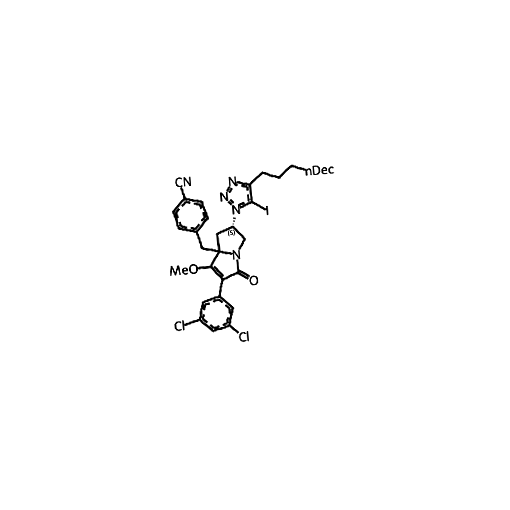 CCCCCCCCCCCCCc1nnn([C@@H]2CN3C(=O)C(c4cc(Cl)cc(Cl)c4)=C(OC)C3(Cc3ccc(C#N)cc3)C2)c1I